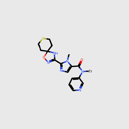 CCN(C(=O)c1cnc(C2=NOC3(CCSCC3)N2)n1C)c1cccnc1